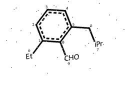 CCc1cccc(CC(C)C)c1C=O